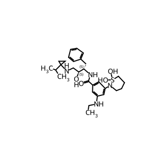 CCNc1cc(C(=O)N[C@@H](Cc2ccccc2)[C@@H](O)CNC2(C(C)C)CC2)cc(N2CCCCS2(O)O)c1